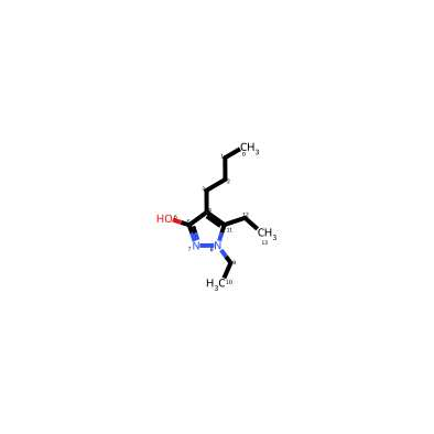 CCCCc1c(O)nn(CC)c1CC